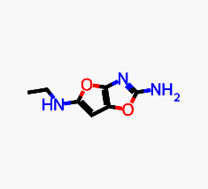 CCNc1cc2oc(N)nc2o1